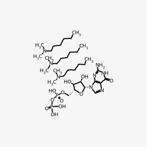 CCCCCCN(C)C.CCCCCCN(C)C.CCCCCCN(C)C.Nc1nc2c(ncn2[C@@H]2O[C@H](COP(=O)(O)OP(=O)(O)O)[C@@H](O)[C@H]2O)c(=O)[nH]1